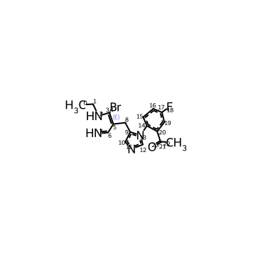 CCN/C(Br)=C(\C=N)Cc1cncn1-c1ccc(F)cc1C(C)=O